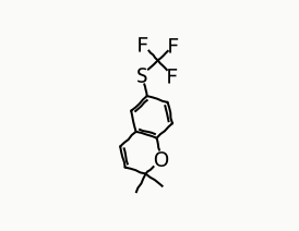 CC1(C)C=Cc2cc(SC(F)(F)F)ccc2O1